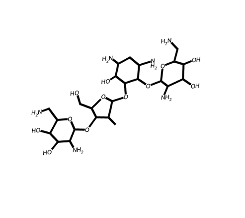 CC1C(OC2C(O)C(N)CC(N)C2OC2OC(CN)C(O)C(O)C2N)OC(CO)C1OC1OC(CN)C(O)C(O)C1N